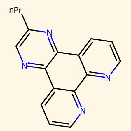 CCCc1cnc2c3cccnc3c3ncccc3c2n1